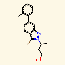 Cc1ccccc1-c1ccc2c(Br)n(C(C)CCO)nc2c1